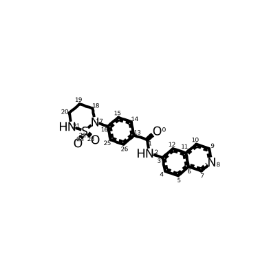 O=C(Nc1ccc2cnccc2c1)c1ccc(N2CCCNS2(=O)=O)cc1